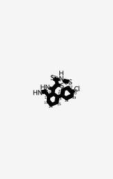 N=C1N/C(=C2/SC(=S)NC2=S)c2c1cccc2-c1ccc(Cl)cc1